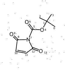 CC(C)(C)OC(=O)N1C(=O)C=CC1=O